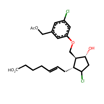 CC(=O)OCc1cc(Cl)cc(OC[C@H]2[C@H](O)CC(Cl)[C@@H]2CC=CCCCC(=O)O)c1